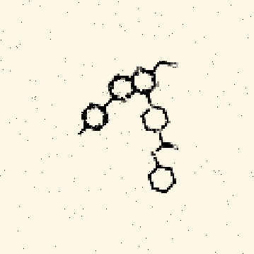 O=C(NC1CCCCC1)N1CCN(c2nc(CCl)nc3ccc(-c4ccc(F)cc4)nc23)CC1